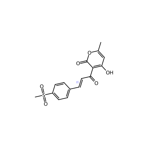 Cc1cc(O)c(C(=O)/C=C/c2ccc(S(C)(=O)=O)cc2)c(=O)o1